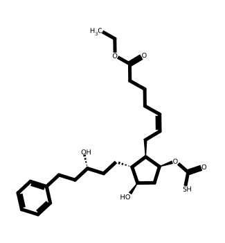 CCOC(=O)CCC/C=C\C[C@@H]1[C@@H](CC[C@@H](O)CCc2ccccc2)[C@H](O)C[C@@H]1OC(=O)S